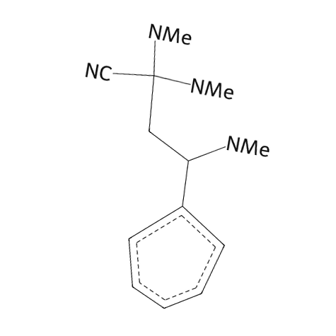 CNC(CC(C#N)(NC)NC)c1ccccc1